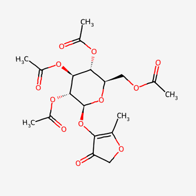 CC(=O)OC[C@H]1O[C@@H](OC2=C(C)OCC2=O)[C@H](OC(C)=O)[C@@H](OC(C)=O)[C@@H]1OC(C)=O